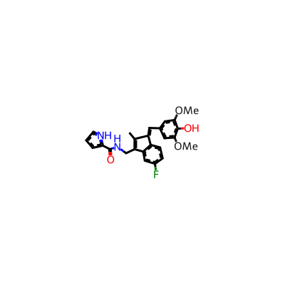 COc1cc(/C=C2/C(C)=C(CNC(=O)c3ccc[nH]3)c3cc(F)ccc32)cc(OC)c1O